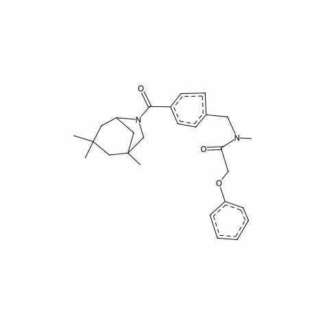 CN(Cc1ccc(C(=O)N2CC3(C)CC2CC(C)(C)C3)cc1)C(=O)COc1ccccc1